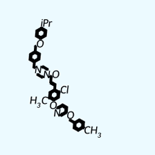 Cc1ccc(COc2ccc(Oc3cc(Cl)c(C=CC(=O)N4CCN(Cc5ccc(COc6ccc(C(C)C)cc6)cc5)CC4)cc3C)nc2)cc1